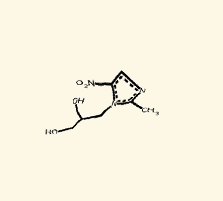 Cc1ncc([N+](=O)[O-])n1CC(O)CO